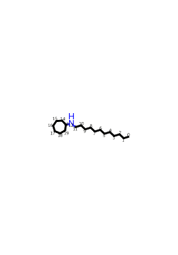 CCCCCCCCCCCCNC1CCCCCC1